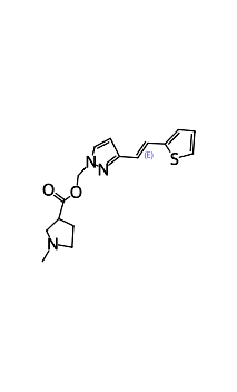 CN1CCC(C(=O)OCn2ccc(/C=C/c3cccs3)n2)C1